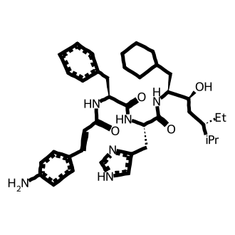 CC[C@@H](C[C@H](O)[C@H](CC1CCCCC1)NC(=O)[C@H](Cc1c[nH]cn1)NC(=O)[C@H](Cc1ccccc1)NC(=O)C=Cc1ccc(N)cc1)C(C)C